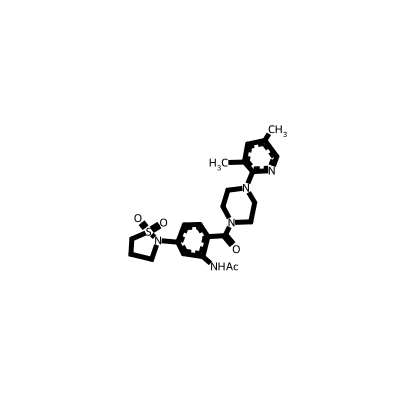 CC(=O)Nc1cc(N2CCCS2(=O)=O)ccc1C(=O)N1CCN(c2ncc(C)cc2C)CC1